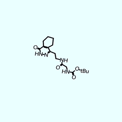 CC(C)(C)OC(=O)NCC(=O)NCCc1n[nH]c(=O)c2c1CCCC2